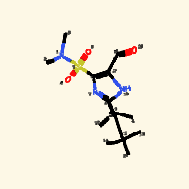 CN(C)S(=O)(=O)c1nc([Si](C)(C)C(C)(C)C)[nH]c1C=O